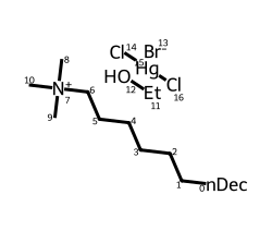 CCCCCCCCCCCCCCCC[N+](C)(C)C.CCO.[Br-].[Cl][Hg][Cl]